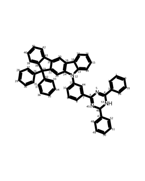 c1ccc(C2=NC(c3cccc(-n4c5ccccc5c5cc6c(cc54)C(c4ccccc4)(c4ccccc4)c4ccccc4-6)c3)=NC(c3ccccc3)N2)cc1